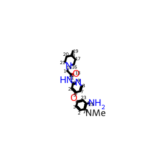 CNc1ccc(Oc2ccnc(NC(=O)CN3CCC(C)CC3)c2)cc1N